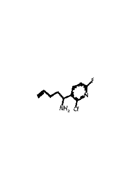 C=CCCC(N)c1ccc(F)nc1Cl